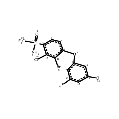 N[SH](=O)(c1ccc(Oc2cc(F)cc(Cl)c2)c(Br)c1Cl)C(F)(F)F